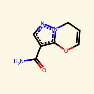 NC(=O)c1cnn2c1OC=CC2